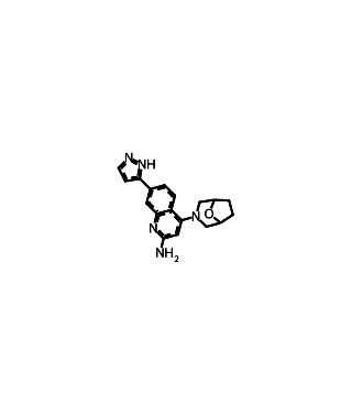 Nc1cc(N2CC3CCC(C2)O3)c2ccc(-c3ccn[nH]3)cc2n1